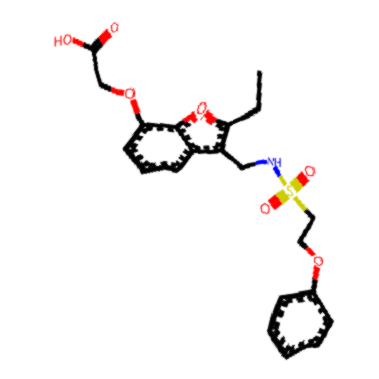 CCc1oc2c(OCC(=O)O)cccc2c1CNS(=O)(=O)CCOc1ccccc1